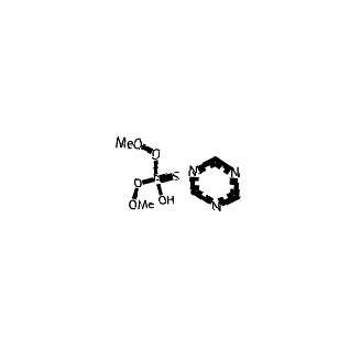 COOP(O)(=S)OOC.c1ncncn1